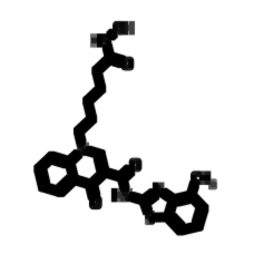 Cc1cccc2sc(NC(=O)c3cn(CCCCCC(=O)NO)c4ccccc4c3=O)nc12